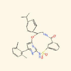 Cc1cccc(C)c1-c1cc2nc(n1)NS(=O)(=O)c1cccc(c1)C(=O)NCC(c1ccc(C(C)C)cc1)O2